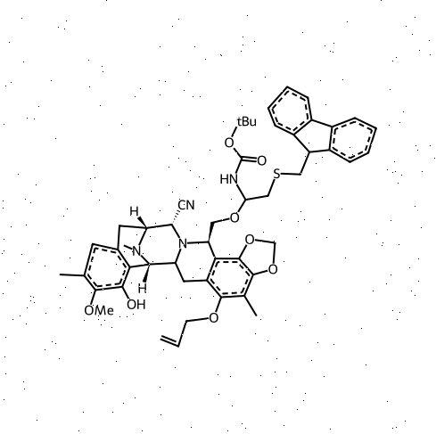 C=CCOc1c(C)c2c(c3c1CC1[C@@H]4c5c(cc(C)c(OC)c5O)C[C@H]([C@H](C#N)N1[C@H]3COC(CSCC1c3ccccc3-c3ccccc31)NC(=O)OC(C)(C)C)N4C)OCO2